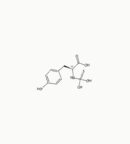 O=C(O)[C@H](Cc1ccc(O)cc1)NP(O)(O)=S